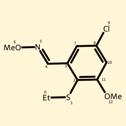 CCSc1c(/C=N/OC)cc(Cl)cc1OC